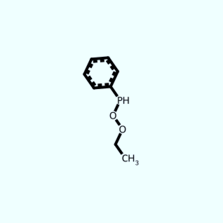 CCOOPc1ccccc1